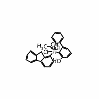 C[C](C)=[Ti]([Cl])([Cl])([c]1cccc2c1Cc1ccccc1-2)[c]1c(O)cccc1-c1ccccc1